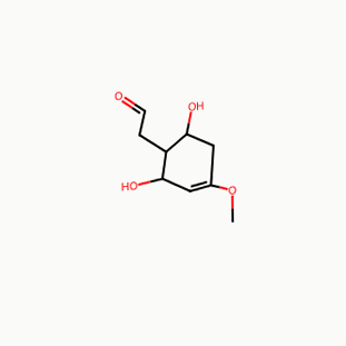 COC1=CC(O)C(CC=O)C(O)C1